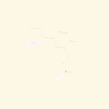 NC(=O)C=Cc1cc(-c2cccnn2)ccc1O